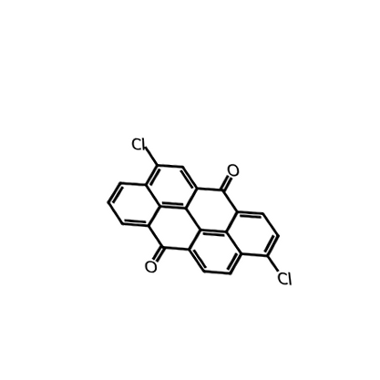 O=c1c2ccc3c(Cl)ccc4c(=O)c5cc(Cl)c6cccc1c6c5-c2c34